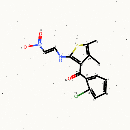 Cc1sc(N/C=C/[N+](=O)[O-])c(C(=O)c2ccccc2Cl)c1C